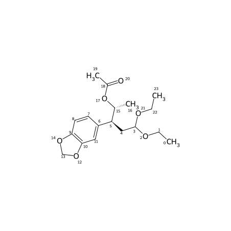 CCOC(C[C@@H](c1ccc2c(c1)OCO2)[C@@H](C)OC(C)=O)OCC